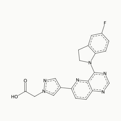 O=C(O)Cn1cc(-c2ccc3ncnc(N4CCc5cc(F)ccc54)c3n2)cn1